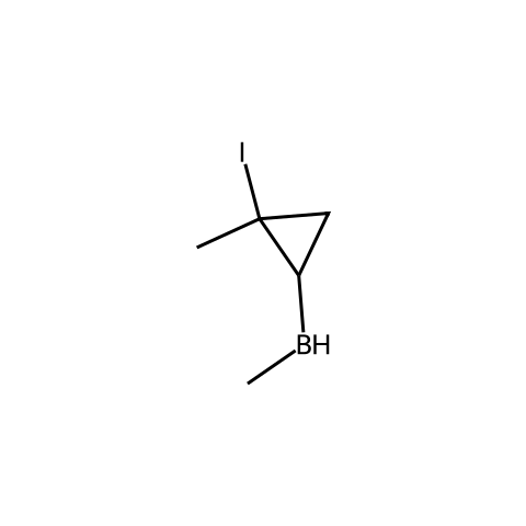 CBC1CC1(C)I